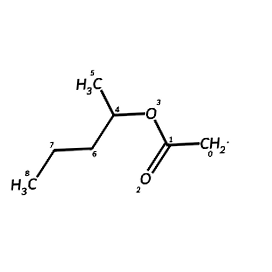 [CH2]C(=O)OC(C)CCC